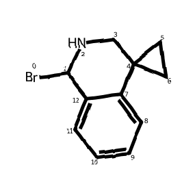 BrC1NCC2(CC2)c2ccccc21